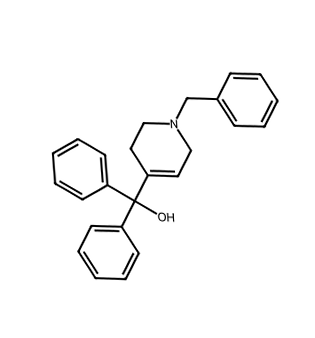 OC(C1=CCN(Cc2ccccc2)CC1)(c1ccccc1)c1ccccc1